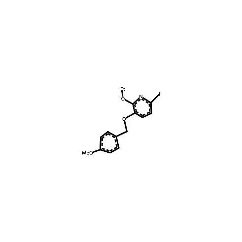 CCOc1nc(I)ccc1OCc1ccc(OC)cc1